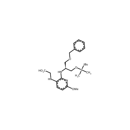 COc1ccc(NCC(=O)O)c(N[C@@H](COCc2ccccc2)CO[Si](C)(C)C(C)(C)C)n1